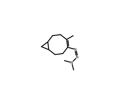 C/C1=C(\N=N/N(C)C)CCC2CC2CC1